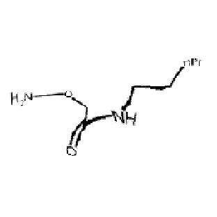 CCCCCNC(=O)ON